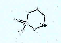 OP1(=S)OCCNO1